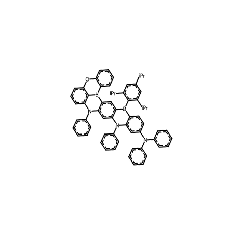 CC(C)c1cc(C(C)C)c(B2c3ccc(N(c4ccccc4)c4ccccc4)cc3N(c3ccccc3)c3cc4c(cc32)B2c3ccccc3Oc3cccc(c32)N4c2ccccc2)c(C(C)C)c1